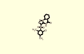 Cc1cc(C)c(S(=O)(=O)c2nnn3c2[nH]c(=O)c2ccccc23)c(Cl)c1